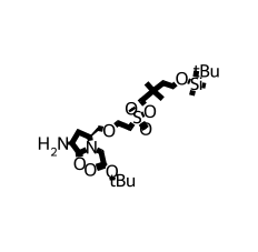 CC(C)(CCO[Si](C)(C)C(C)(C)C)COS(=O)(=O)CCOC[C@@H]1C[C@H](N)C(=O)N1CC(=O)OC(C)(C)C